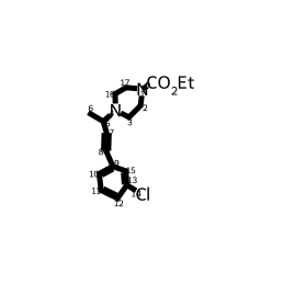 CCOC(=O)N1CCN(C(C)C#Cc2cccc(Cl)c2)CC1